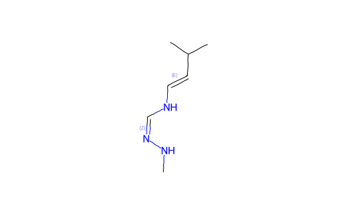 CN/N=C\N/C=C/C(C)C